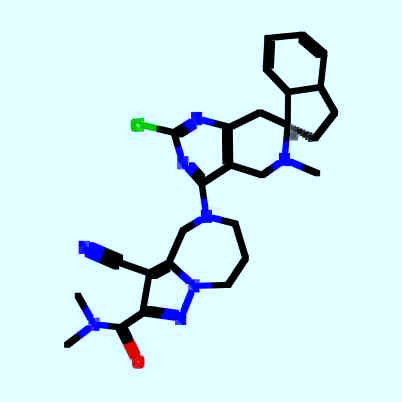 CN(C)C(=O)c1nn2c(c1C#N)CN(c1nc(Cl)nc3c1CN(C)[C@@]1(CCC4C=CC=CC41)C3)CCC2